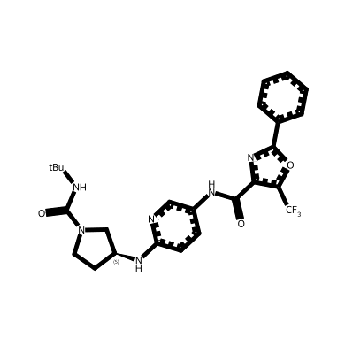 CC(C)(C)NC(=O)N1CC[C@H](Nc2ccc(NC(=O)c3nc(-c4ccccc4)oc3C(F)(F)F)cn2)C1